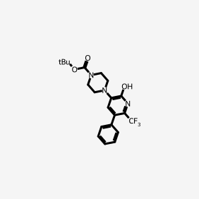 CC(C)(C)OC(=O)N1CCN(c2cc(-c3ccccc3)c(C(F)(F)F)nc2O)CC1